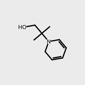 CC(C)(CO)N1C=CC=CC1